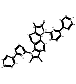 Cc1c(C)n(-c2cccc(-c3ccncc3)n2)c2c1ccc1c2ccc2c(C)c(C)n(-c3cccc(-c4ccncc4)n3)c21